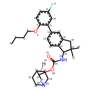 CCCCOc1ccc(F)cc1-c1ccc2c(c1)CC(C)(C)C2NC(=O)O[C@H]1CN2CCC1CC2